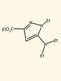 CCOC(=O)c1cc(N(CC)CC)n(CC)n1